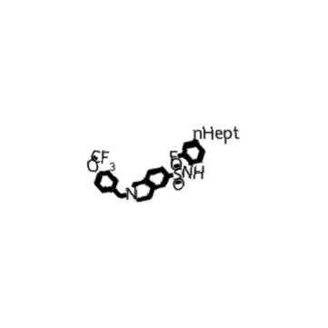 CCCCCCCc1ccc(NS(=O)(=O)c2ccc3c(c2)CCN(Cc2ccc(OC(F)(F)F)cc2)C3)c(F)c1